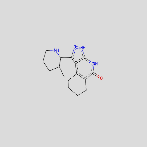 CC1CCCNC1c1n[nH]c2[nH]c(=O)c3c(c12)CCCC3